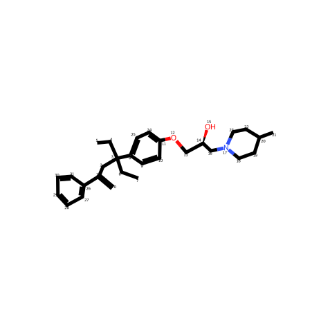 C=C(CC(CC)(CC)c1ccc(OC[C@@H](O)CN2CCC(C)CC2)cc1)c1ccccc1